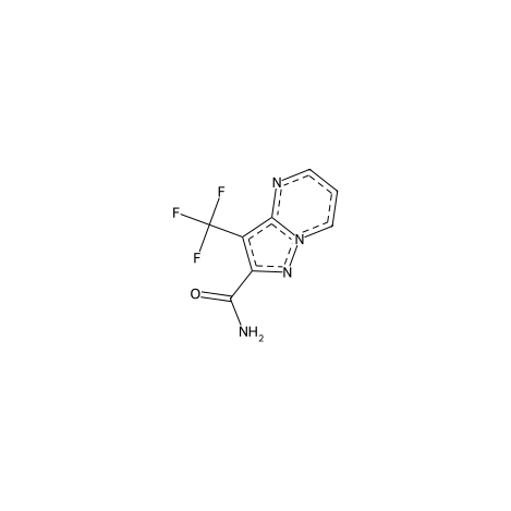 NC(=O)c1nn2cccnc2c1C(F)(F)F